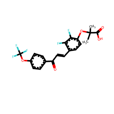 CC(C)(Oc1ccc(C=CC(=O)c2ccc(OC(F)(F)F)cc2)c(F)c1F)C(=O)O